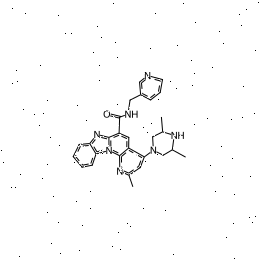 Cc1cc(N2CC(C)NC(C)C2)c2cc(C(=O)NCc3cccnc3)c3nc4ccccc4n3c2n1